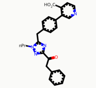 CCCn1nc(C(=O)Cc2ccccc2)nc1Cc1ccc(-c2cnccc2C(=O)O)cc1